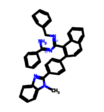 Cn1c(-c2ccc(-c3ccc4ccccc4c3C(/N=C(\N)c3ccccc3)=N/Cc3ccccc3)cc2)nc2ccccc21